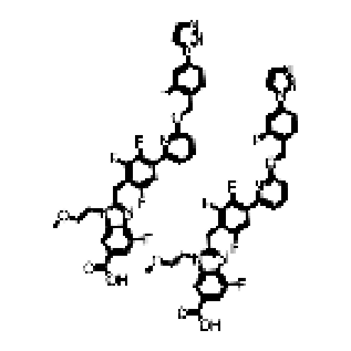 COCCn1c(Cc2c(F)cc(-c3cccc(OCc4ccc(-n5ccnn5)cc4F)n3)c(F)c2F)nc2c(F)cc(C(=O)O)cc21.COCCn1c(Cc2c(F)cc(-c3cccc(OCc4ccc(-n5ccnn5)cc4F)n3)c(F)c2F)nc2c(F)cc(C(=O)O)cc21